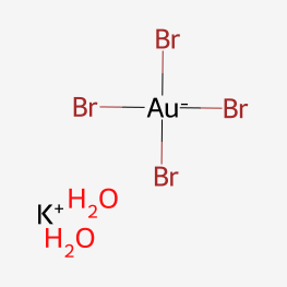 O.O.[Br][Au-]([Br])([Br])[Br].[K+]